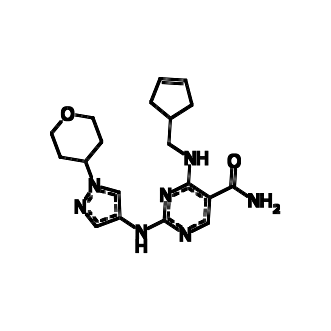 NC(=O)c1cnc(Nc2cnn(C3CCOCC3)c2)nc1NCC1CC=CC1